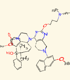 CCCCOc1cc(N2CCc3c(nc(OCCCN(CCC)CCC)nc3N3CCN(C(=O)OC(C)(C)C)CC3CCC(C)(C)[Si](O)(c3ccccc3)c3ccccc3)C2)c2ccccc2c1